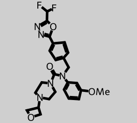 COc1cccc(N(Cc2ccc(-c3nnc(C(F)F)o3)cc2)C(=O)N2CCN(C3COC3)CC2)c1